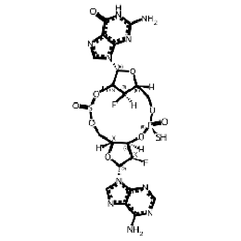 Nc1nc2c(ncn2[C@@H]2O[C@@H]3CO[P@@](=O)(S)O[C@H]4[C@@H](F)[C@H](n5cnc6c(N)ncnc65)O[C@@H]4COS(=O)O[C@@H]2[C@@H]3F)c(=O)[nH]1